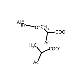 CC(=O)C(C)C(=O)[O-].CC(=O)C(C)C(=O)[O-].CC(C)[O-].[Al+3]